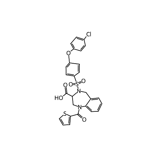 O=C(O)C1CN(C(=O)c2cccs2)c2ccccc2CN1S(=O)(=O)c1ccc(Oc2ccc(Cl)cc2)cc1